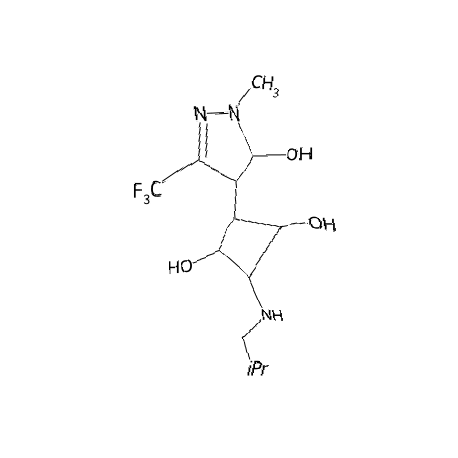 CC(C)CNC1C(O)C(C2C(C(F)(F)F)=NN(C)C2O)C1O